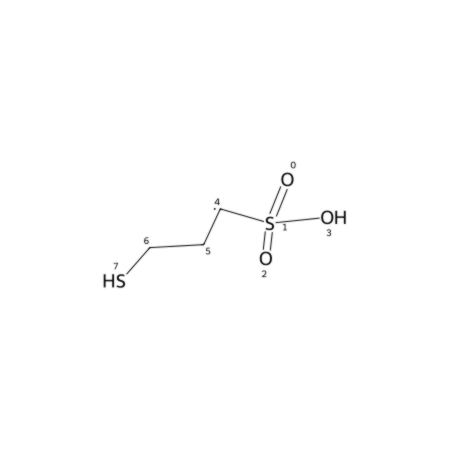 O=S(=O)(O)[CH]CCS